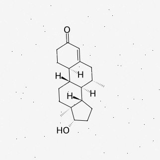 C[C@H]1CC2=CC(=O)CC[C@@H]2[C@H]2CC[C@]3(C)[C@@H](O)CC[C@H]3[C@@H]21